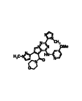 COc1ccnc(Nc2nc(-c3nccn3C)nn3cc(-c4ccn(C)n4)c(C(=O)N4CCOCC4)c23)c1